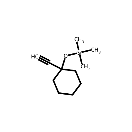 C#CC1(O[Si](C)(C)C)CCCCC1